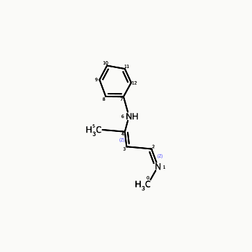 C/N=C\C=C(\C)Nc1ccccc1